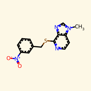 Cn1cnc2c(SCc3cccc([N+](=O)[O-])c3)nccc21